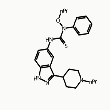 CCCON(C(=S)Nc1ccc2[nH]nc(C3CCN(CCC)CC3)c2c1)c1ccccc1